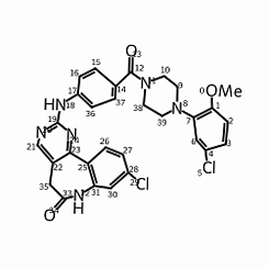 COc1ccc(Cl)cc1N1CCN(C(=O)c2ccc(Nc3ncc4c(n3)-c3ccc(Cl)cc3NC(=O)C4)cc2)CC1